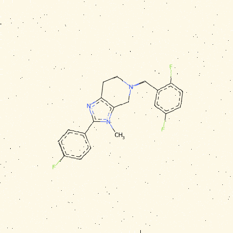 Cn1c(-c2ccc(F)cc2)nc2c1CN(Cc1cc(F)ccc1F)CC2